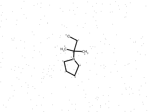 CC(C)(C[O])N1CCCC1